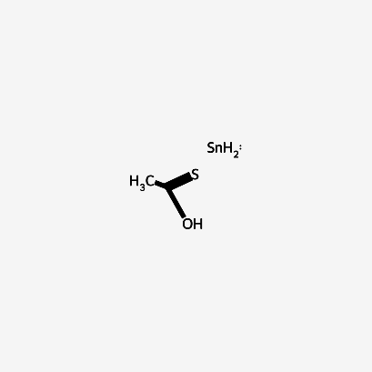 CC(O)=S.[SnH2]